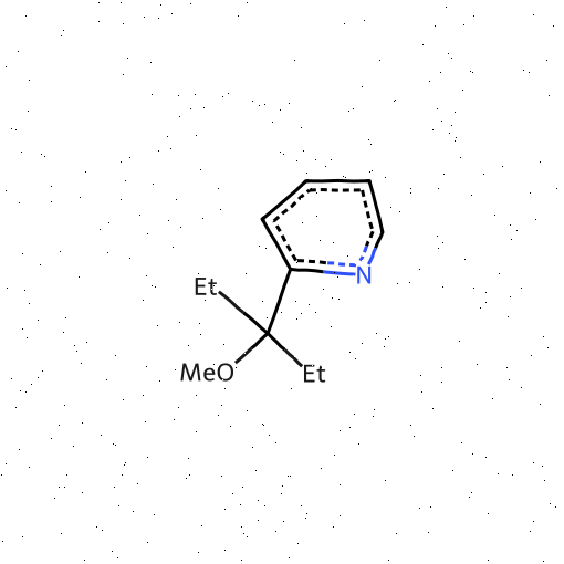 CCC(CC)(OC)c1ccccn1